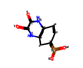 O=c1[nH]c2c([nH]c1=O)CC(=S(=O)=O)C=C2